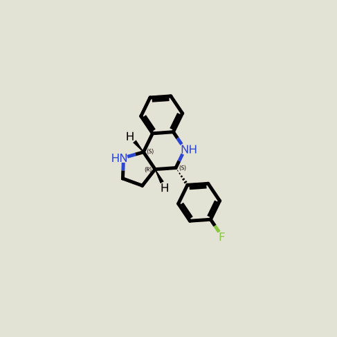 Fc1ccc([C@H]2Nc3ccccc3[C@H]3NCC[C@@H]23)cc1